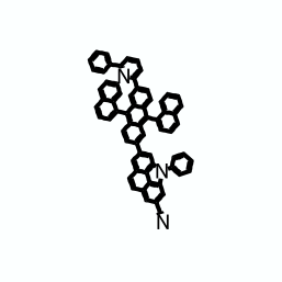 N#Cc1cc2ccc3cc(-c4ccc5c(-c6cccc7ccccc67)c6cc(-c7cccc(-c8ccccc8)n7)ccc6c(-c6cccc7ccccc67)c5c4)cc4c3c2c(c1)n4-c1ccccc1